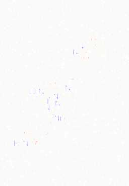 CCOC(=O)c1nnc(-c2ccc(NC(=O)n3nc(Nc4ccc(S(N)(=O)=O)cc4)nc3N)cc2)o1